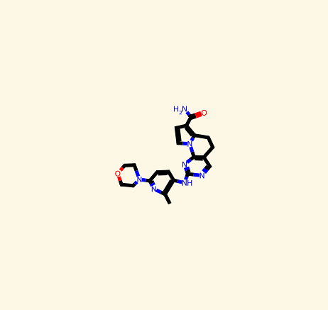 Cc1nc(N2CCOCC2)ccc1Nc1ncc2c(n1)-n1ccc(C(N)=O)c1CC2